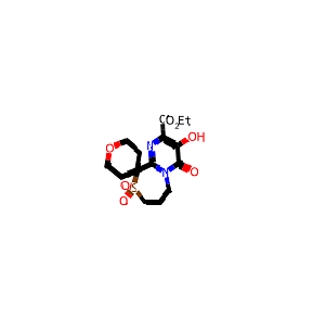 CCOC(=O)c1nc2n(c(=O)c1O)CCCS(=O)(=O)C21CCOCC1